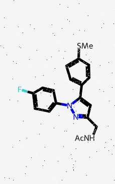 CSc1ccc(-c2cc(CNC(C)=O)nn2-c2ccc(F)cc2)cc1